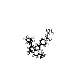 CCOC(=O)N1CCC(C(=O)CN2c3nc(N4C[C@@H]5CC4CO5)cc(=O)n3CCC2C(F)(F)F)CC1